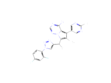 CCC(c1cn(-c2ccc(F)cc2F)nn1)c1c(C#N)c(-c2cnc(C(F)(F)F)nc2)c2c(N)ncnn12